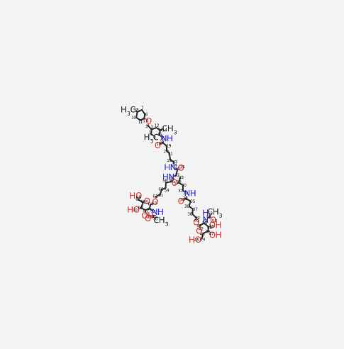 CCC(COC1CCC(C)CC1)CC(C)CNC(=O)CCCCCNC(=O)[C@H](CCCCNC(=O)CCCCCOC1OC(CO)C(O)C(O)C1NC(C)=O)NC(=O)CCCCCOC1OC(CO)C(O)C(O)C1NC(C)=O